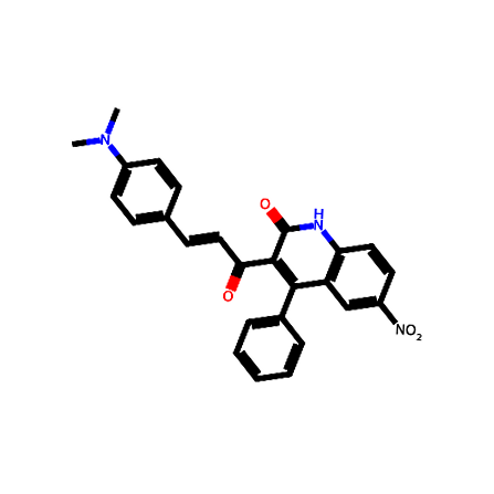 CN(C)c1ccc(/C=C/C(=O)c2c(-c3ccccc3)c3cc([N+](=O)[O-])ccc3[nH]c2=O)cc1